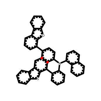 c1ccc(N(c2ccc(-c3cccc4c3oc3ccccc34)cc2)c2cccc3ccccc23)c(-c2cccc3c2sc2ccccc23)c1